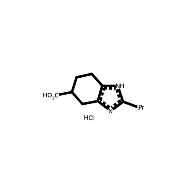 CC(C)c1nc2c([nH]1)CCC(C(=O)O)C2.Cl